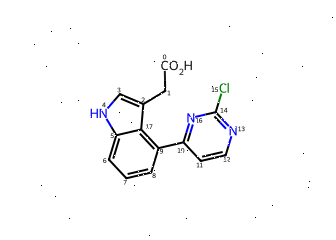 O=C(O)Cc1c[nH]c2cccc(-c3ccnc(Cl)n3)c12